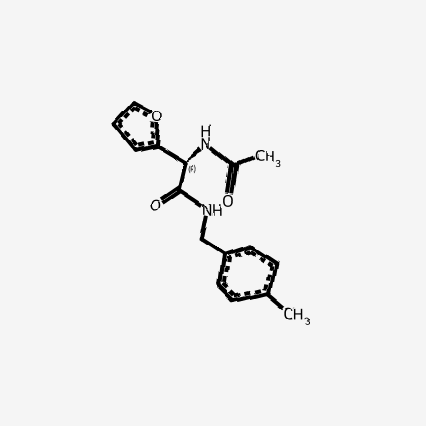 CC(=O)N[C@@H](C(=O)NCc1ccc(C)cc1)c1ccco1